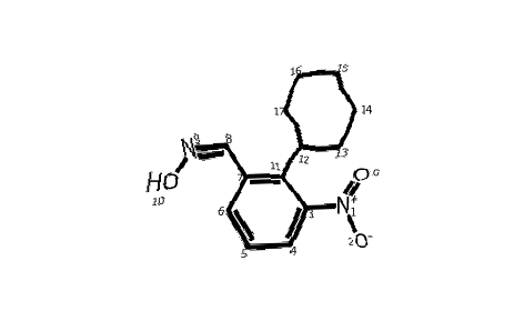 O=[N+]([O-])c1cccc(/C=N\O)c1C1CCCCC1